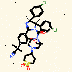 CCOc1cc(C(C)(C)C#N)ccc1C1=N[C@@](C)(c2ccc(Cl)cc2)[C@@](C)(c2ccc(Cl)cc2)N1C(=O)N1CCN(C2CCS(=O)(=O)CC2)CC1